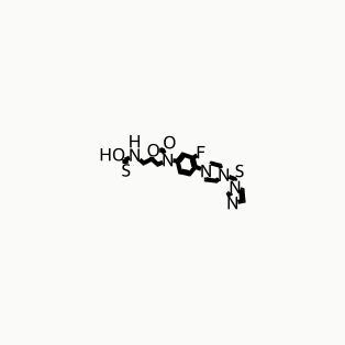 O=C1OC(CNC(O)=S)CN1c1ccc(N2CCN(C(=S)n3ccnc3)CC2)c(F)c1